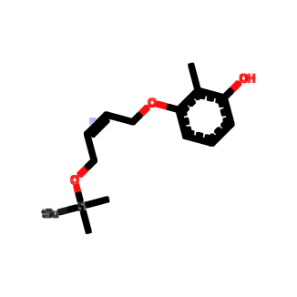 Cc1c(O)cccc1OC/C=C\CO[Si](C)(C)C(C)(C)C